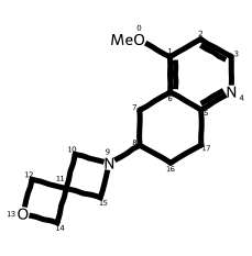 COc1ccnc2c1CC(N1CC3(COC3)C1)CC2